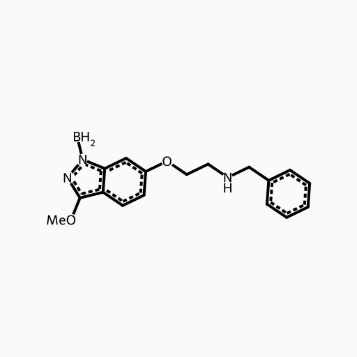 Bn1nc(OC)c2ccc(OCCNCc3ccccc3)cc21